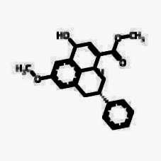 COC(=O)C1=CC(O)c2cc(OC)cc3c2[C@H]1C[C@H](c1ccccc1)C3